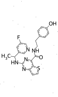 CC(Nc1nc(C(=O)NCCc2ccc(O)cc2)c2sccc2n1)c1cncc(F)c1